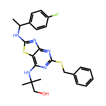 CC(Nc1nc2nc(SCc3ccccc3)nc(NC(C)(C)CO)c2s1)c1ccc(F)cc1